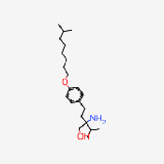 CC(C)CCCCCCOc1ccc(CCC(N)(CO)C(C)C)cc1